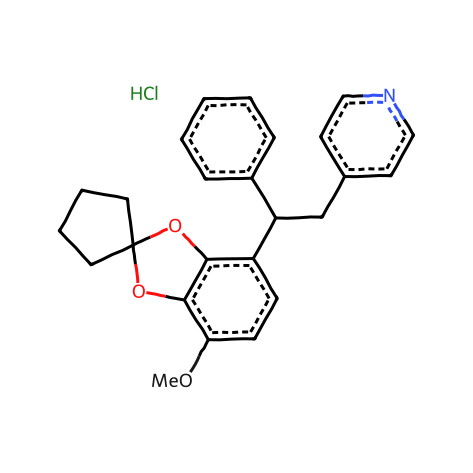 COc1ccc(C(Cc2ccncc2)c2ccccc2)c2c1OC1(CCCC1)O2.Cl